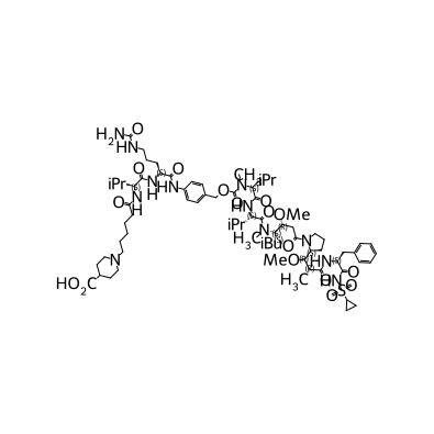 CC[C@H](C)[C@@H]([C@@H](CC(=O)N1CCC[C@H]1[C@H](OC)[C@@H](C)C(=O)N[C@@H](Cc1ccccc1)C(=O)NS(=O)(=O)C1CC1)OC)N(C)C(=O)[C@@H](NC(=O)[C@H](C(C)C)N(C)C(=O)OCc1ccc(NC(=O)[C@H](CCCNC(N)=O)NC(=O)[C@@H](NC(=O)CCCCCN2CCC(C(=O)O)CC2)C(C)C)cc1)C(C)C